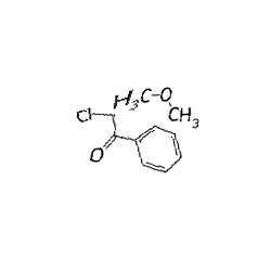 COC.O=C(CCl)c1ccccc1